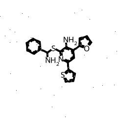 Nc1c(-c2ccco2)cc(-c2cccs2)nc1SC(N)c1ccccc1